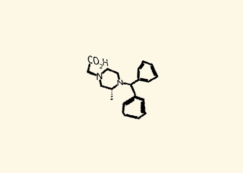 C[C@@H]1CN(CC(=O)O)CCN1C(c1ccccc1)c1ccccc1